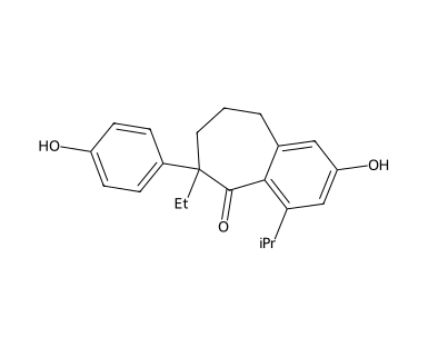 CCC1(c2ccc(O)cc2)CCCc2cc(O)cc(C(C)C)c2C1=O